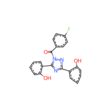 O=C(c1ccc(F)cc1)n1nc(-c2ccccc2O)nc1-c1ccccc1O